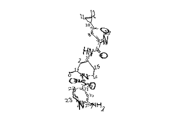 C[C@H]1C[C@@H](NC(=O)c2cc(C3CC3)on2)CCN1S(=O)(=O)c1ccnc(N)c1